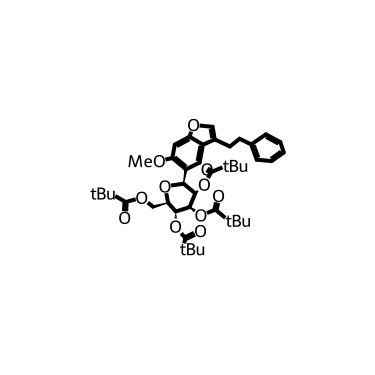 COc1cc2occ(CCc3ccccc3)c2cc1[C@@H]1O[C@H](COC(=O)C(C)(C)C)[C@@H](OC(=O)C(C)(C)C)[C@H](OC(=O)C(C)(C)C)[C@H]1OC(=O)C(C)(C)C